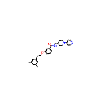 Cc1cc(C)cc(CCOc2cccc(C(=O)NCC3CCN(c4ccncc4)CC3)c2)c1